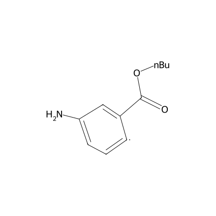 CCCCOC(=O)c1[c]ccc(N)c1